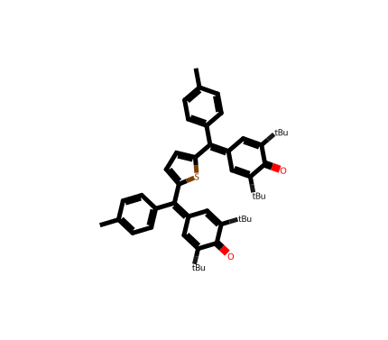 Cc1ccc(C(=C2C=C(C(C)(C)C)C(=O)C(C(C)(C)C)=C2)c2ccc(C(=C3C=C(C(C)(C)C)C(=O)C(C(C)(C)C)=C3)c3ccc(C)cc3)s2)cc1